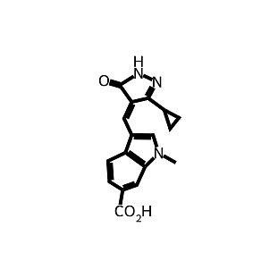 Cn1cc(C=C2C(=O)NN=C2C2CC2)c2ccc(C(=O)O)cc21